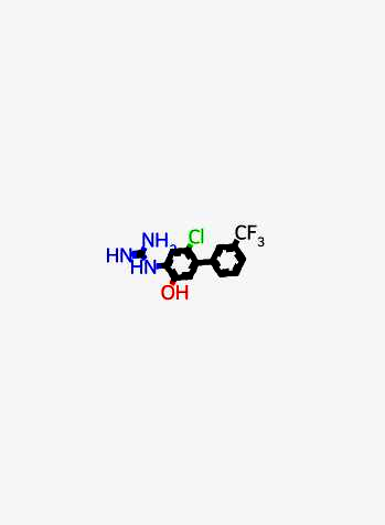 N=C(N)Nc1cc(Cl)c(-c2cccc(C(F)(F)F)c2)cc1O